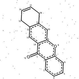 O=c1c2ccccc2oc2cc3c(cc12)CC=CC3